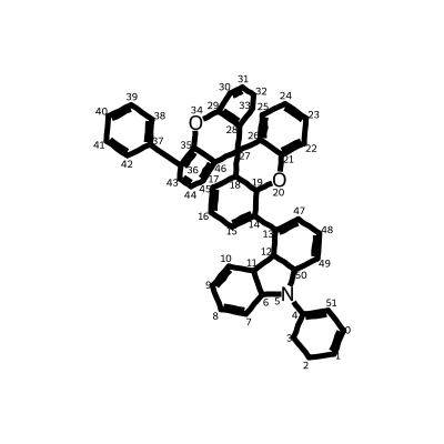 C1=CCCC(N2C3C=CC=CC3C3C(C4=CC=CC5C4Oc4ccccc4C54C5=C(C=CCC5)Oc5c(-c6ccccc6)cccc54)=CC=CC32)=C1